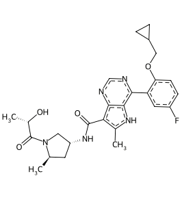 Cc1[nH]c2c(-c3cc(F)ccc3OCC3CC3)ncnc2c1C(=O)N[C@@H]1C[C@@H](C)N(C(=O)[C@H](C)O)C1